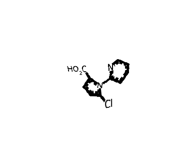 O=C(O)c1ccc(Cl)n1-c1ccccn1